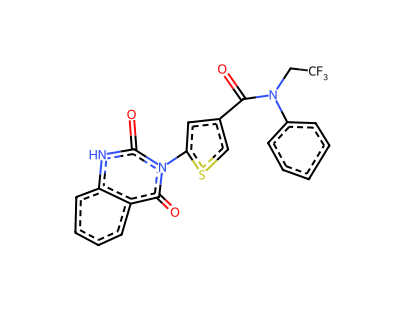 O=C(c1csc(-n2c(=O)[nH]c3ccccc3c2=O)c1)N(CC(F)(F)F)c1ccccc1